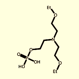 CCOCCN(CCOCC)CCOP(=O)(O)O